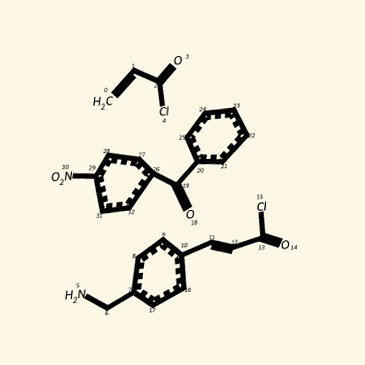 C=CC(=O)Cl.NCc1ccc(C=CC(=O)Cl)cc1.O=C(c1ccccc1)c1ccc([N+](=O)[O-])cc1